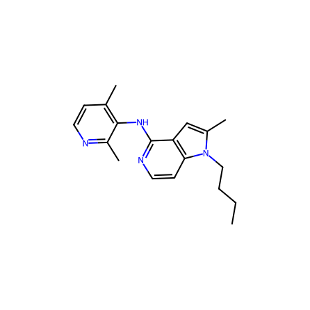 CCCCn1c(C)cc2c(Nc3c(C)ccnc3C)nccc21